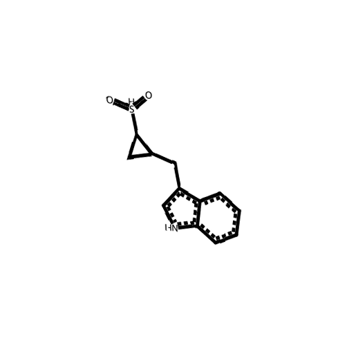 O=[SH](=O)C1CC1Cc1c[nH]c2ccccc12